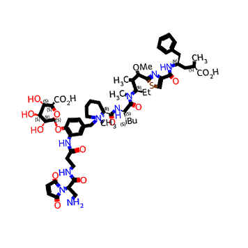 CC[C@H](C(C)C(OC)c1nc(C(=O)N[C@@H](Cc2ccccc2)C[C@H](C)C(=O)O)cs1)N(C)C(=O)[C@@H](NC(=O)[C@H]1CCCC[N+]1(C)Cc1ccc(O[C@@H]2O[C@H](C(=O)O)[C@@H](O)[C@H](O)[C@H]2O)c(NC(=O)CCNC(=O)C(CN)N2C(=O)C=CC2=O)c1)[C@@H](C)CC